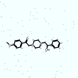 COc1ccc(C(=O)CN2CCN(CC(O)c3ccccc3)CC2)cc1